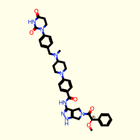 CO[C@@H](C(=O)N1Cc2[nH]nc(NC(=O)c3ccc(N4CCC(N(C)Cc5ccc(N6CCC(=O)NC6=O)cc5)CC4)cc3)c2C1)c1ccccc1